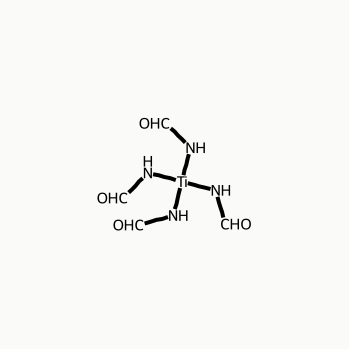 O=C[NH][Ti]([NH]C=O)([NH]C=O)[NH]C=O